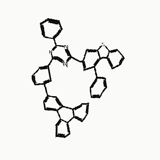 c1ccc(-c2nc(-c3cccc(-c4ccc5c6ccccc6c6ccccc6c5c4)c3)nc(-c3cc(-c4ccccc4)c4c(c3)sc3ccccc34)n2)cc1